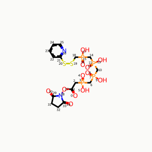 O=C(CP(=O)(O)CP(=O)(O)CP(=O)(O)CP(=O)(O)CSSc1ccccn1)ON1C(=O)CCC1=O